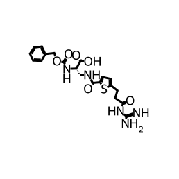 N=C(N)NC(=O)CCc1ccc(C(=O)NC[C@H](NC(=O)OCc2ccccc2)C(=O)O)s1